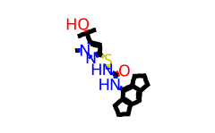 Cn1nc(SNC(=O)Nc2c3c(cc4c2CCC4)CCC3)cc1C(C)(C)O